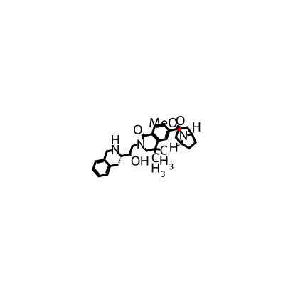 CO[C@H]1C[C@H]2CC[C@@H](C1)N2C(=O)c1ccc2c(c1)C(C)(C)CN(C[C@@H](O)[C@@H]1Cc3ccccc3CN1)C2=O